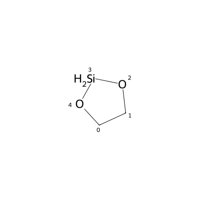 C1CO[SiH2]O1